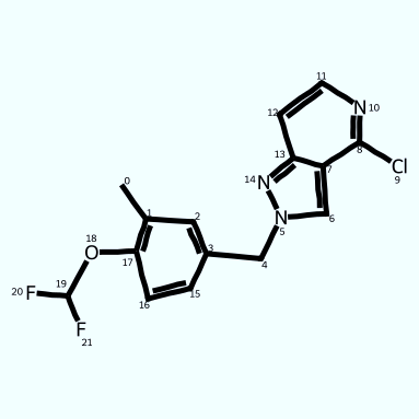 Cc1cc(Cn2cc3c(Cl)nccc3n2)ccc1OC(F)F